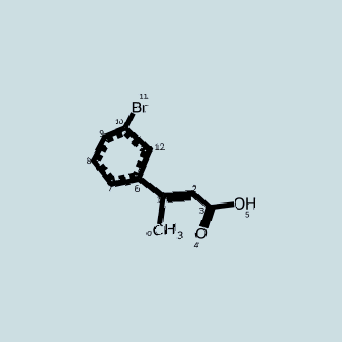 CC(=CC(=O)O)c1cccc(Br)c1